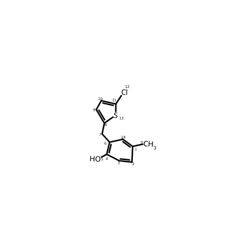 Cc1ccc(O)c(Cc2ccc(Cl)s2)c1